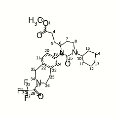 COC(=O)CCC1CCN(C2CCCCC2)C(=O)N1c1ccc2c(c1)CCN(C(=O)C(F)(F)F)CC2